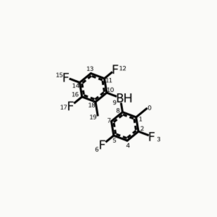 Cc1c(F)cc(F)cc1Bc1c(F)cc(F)c(F)c1C